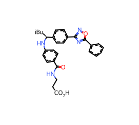 CCC(C)[C@H](Nc1ccc(C(=O)NCCC(=O)O)cc1)c1ccc(-c2noc(-c3ccccc3)n2)cc1